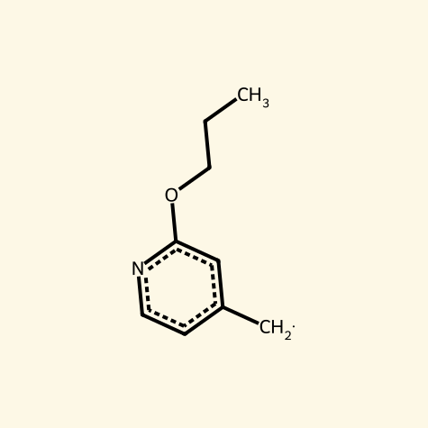 [CH2]c1ccnc(OCCC)c1